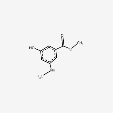 CNc1cc(O)cc(C(=O)OC)c1